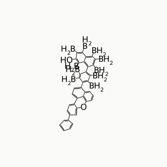 Bc1c(B)c(-c2c(B)c(B)c(B)c3c(B)c(B)c(O)c(B)c23)c(B)c(B)c1-c1ccc2c3c(cccc13)Oc1cc(-c3ccccc3)ccc1-2